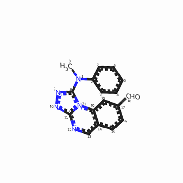 CN(c1ccccc1)c1nnc2ncc3ccc(C=O)cc3n12